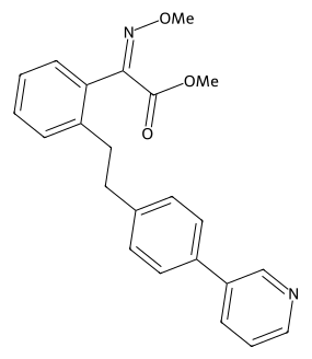 CO/N=C(\C(=O)OC)c1ccccc1CCc1ccc(-c2cccnc2)cc1